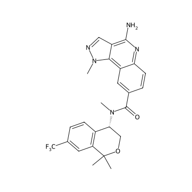 CN(C(=O)c1ccc2nc(N)c3cnn(C)c3c2c1)[C@@H]1COC(C)(C)c2cc(C(F)(F)F)ccc21